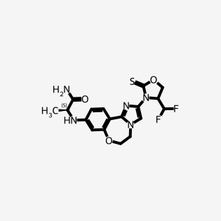 C[C@H](Nc1ccc2c(c1)OCCn1cc(N3C(=S)OCC3C(F)F)nc1-2)C(N)=O